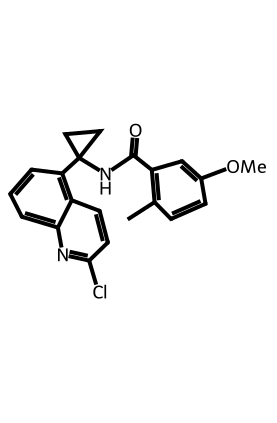 COc1ccc(C)c(C(=O)NC2(c3cccc4nc(Cl)ccc34)CC2)c1